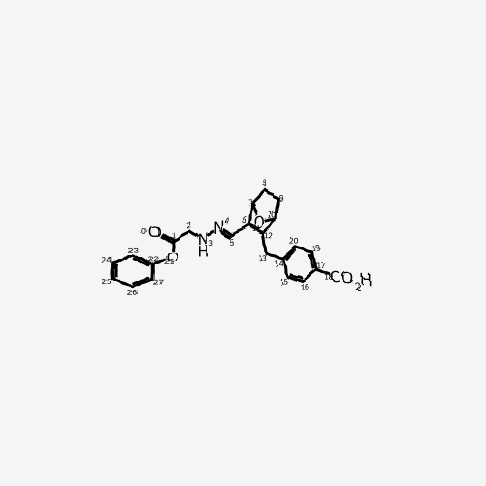 O=C(CNN=CC1C2CCC(O2)C1Cc1ccc(C(=O)O)cc1)Oc1ccccc1